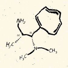 C[C@H](N)[C@H](c1ccccc1)N(C)C